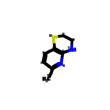 Cc1ccc2c(n1)NCCS2